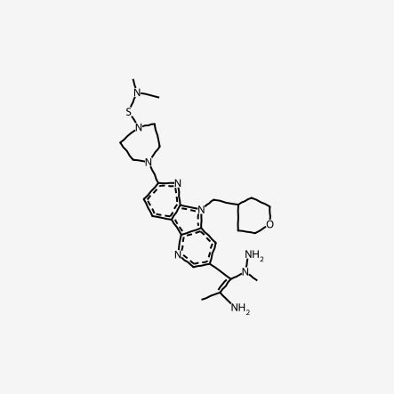 C/C(N)=C(\c1cnc2c3ccc(N4CCN(SN(C)C)CC4)nc3n(CC3CCOCC3)c2c1)N(C)N